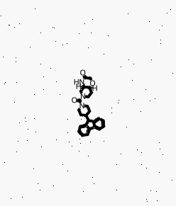 O=C1CO[C@H]2CCN(C(=O)N3CCC(C4c5ccccc5-c5ccccc54)CC3)C[C@H]2N1